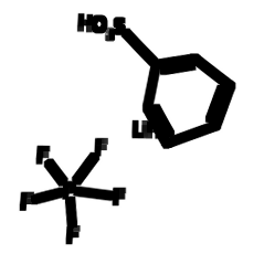 FP(F)(F)(F)F.O=S(=O)(O)c1ccccc1.[LiH]